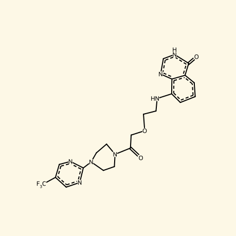 O=C(COCCNc1cccc2c(=O)[nH]cnc12)N1CCN(c2ncc(C(F)(F)F)cn2)CC1